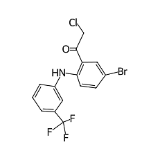 O=C(CCl)c1cc(Br)ccc1Nc1cccc(C(F)(F)F)c1